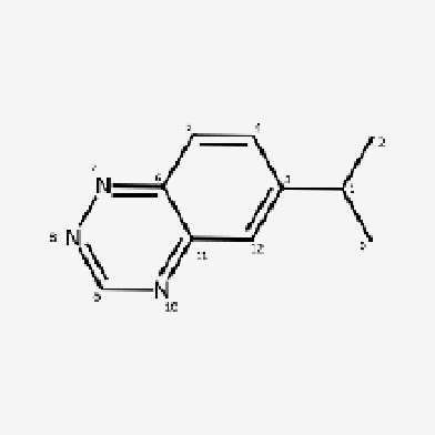 CC(C)c1ccc2nncnc2c1